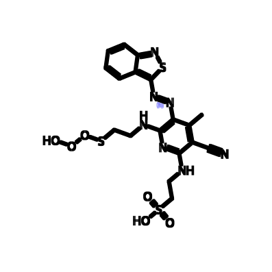 Cc1c(C#N)c(NCCS(=O)(=O)O)nc(NCCSOOO)c1/N=N/c1snc2ccccc12